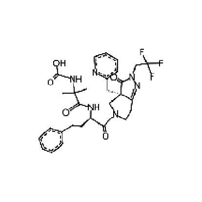 CC(C)(NC(=O)O)C(=O)N[C@H](CCc1ccccc1)C(=O)N1CCC2=NN(CC(F)(F)F)C(=O)[C@]2(Cc2ccccn2)C1